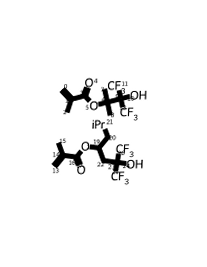 C=C(C)C(=O)OC(C)(C)C(O)(C(F)(F)F)C(F)(F)F.C=C(C)C(=O)OC(CC(C)C)CC(O)(C(F)(F)F)C(F)(F)F